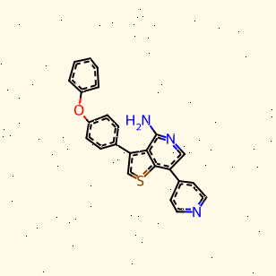 Nc1ncc(-c2ccncc2)c2scc(-c3ccc(Oc4ccccc4)cc3)c12